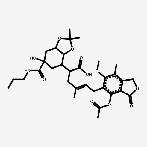 CCCNC(=O)C1(O)CC2OC(C)(C)OC2C(C(CC(C)=CCc2c(OC)c(C)c3c(c2OC(C)=O)C(=O)OC3)C(=O)O)C1